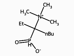 CCCCC(CC)([PH](=O)[O-])[N+](C)(C)C